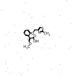 CO/C=C(\C(=O)O)c1ccccc1OCc1csc(C)n1